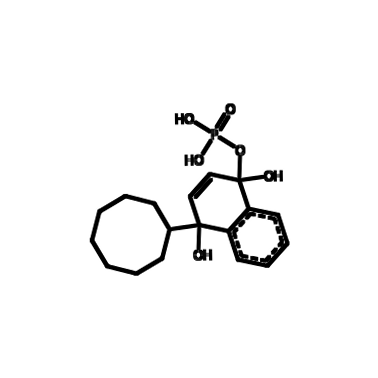 O=P(O)(O)OC1(O)C=CC(O)(C2CCCCCCC2)c2ccccc21